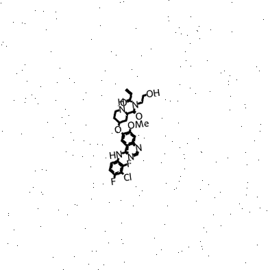 C=CC(=O)N(CCO)C(=O)C1CC(Oc2cc3c(Nc4ccc(F)c(Cl)c4F)ncnc3cc2OC)CCN1